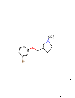 O=C(O)N1CCCC(COc2cccc(Br)c2)C1